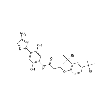 CCC(C)(C)c1ccc(OCCC(=O)Nc2cc(O)c(-n3ncc([N+](=O)[O-])n3)cc2O)c(C(C)(C)CC)c1